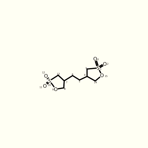 O=S1(=O)CC(CCC2COS(=O)(=O)C2)CO1